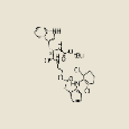 CC(C)(C)OC(=O)N[C@@H](Cc1c[nH]c2ccccc12)C(=O)NCCOC(=O)Cc1ccccc1NC1=C(Cl)C=CCC1Cl